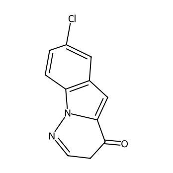 O=C1CC=Nn2c1cc1cc(Cl)ccc12